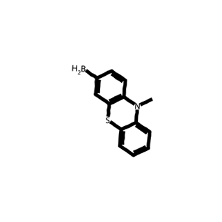 Bc1ccc2c(c1)Sc1ccccc1N2C